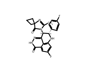 CC1=NC2(CCC2)C(=O)N1[C@@H]1c2n[nH]c(=O)c3cc(F)cc(c23)N[C@H]1c1ccc(F)cc1